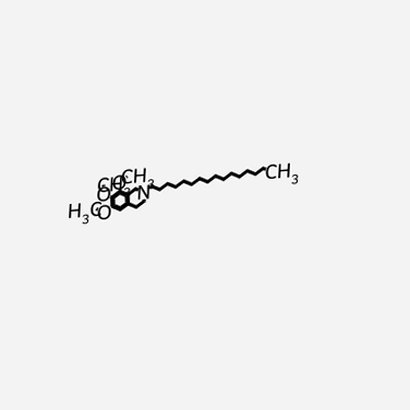 CCCCCCCCCCCCCCCCN1CCc2cc(OC)c(OC)c(OC)c2C1